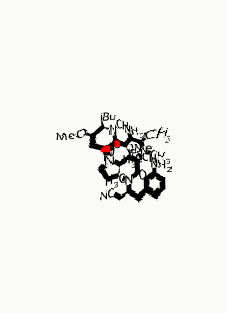 CC[C@H](C)[C@@H]([C@@H](CC(=O)N1CCC[C@H]1[C@H](OC)[C@@H](C)C(=O)N(C)[C@H](CC#N)Cc1cccc(N)c1)OC)N(C)C(=O)[C@@H](C(C)C)C(N)[C@@H](C)N(C)C